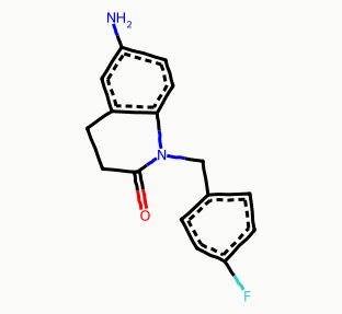 Nc1ccc2c(c1)CCC(=O)N2Cc1ccc(F)cc1